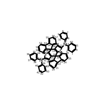 c1ccc(N(c2ccccc2)c2cc3c(s2)C2(c4ccccc4-c4ccccc42)c2cc(N(c4ccccc4)c4ccccc4)sc2C32c3ccccc3-c3ccccc32)cc1